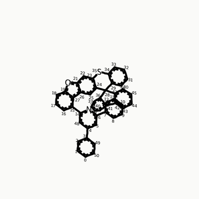 c1ccc(-c2cc(-c3ccccc3)nc(-c3cccc4oc5cc6c(cc5c34)C3(c4ccccc4S6)c4ccccc4-c4ccccc43)c2)cc1